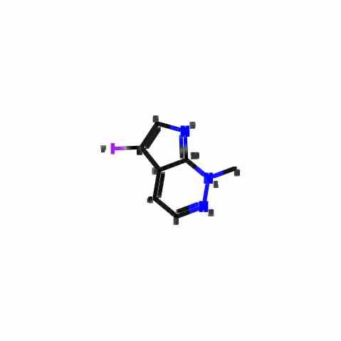 Cn1nccc2c(I)cnc1-2